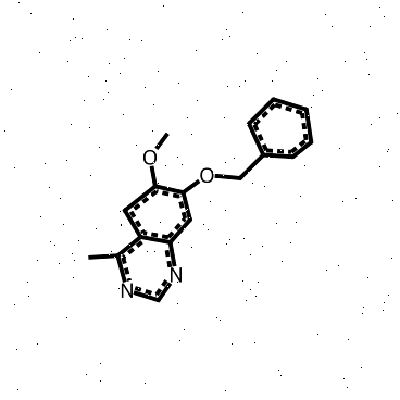 COc1cc2c(C)ncnc2cc1OCc1ccccc1